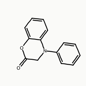 O=C1CN(c2ccccc2)c2ccccc2O1